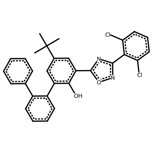 CC(C)(C)c1cc(-c2nc(-c3c(Cl)cccc3Cl)no2)c(O)c(-c2ccccc2-c2ccccc2)c1